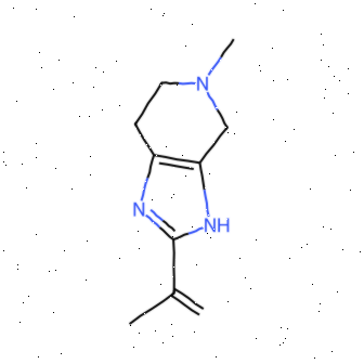 C=C(C)c1nc2c([nH]1)CN(C)CC2